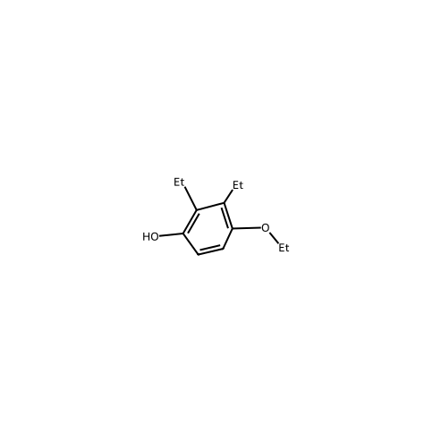 CCOc1ccc(O)c(CC)c1CC